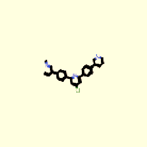 C=C/C(=C\N=C)c1ccc(-c2cc(Cl)cc(-c3ccc(-c4cccnc4)cc3)n2)cc1